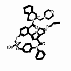 C=CCO[C@@H]1Cc2c(C(=O)N(c3ccccc3)c3ccc(O[Si](C)(C)C(C)(C)C)cc3)cc(-c3cc(F)ccc3C(=O)N3Cc4ccccc4C[C@H]3CN3CCOCC3)n2C1